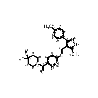 Cc1ccc(-c2noc(C)c2COc2ccc(C(=O)N3CCC(F)(F)CC3)nn2)cn1